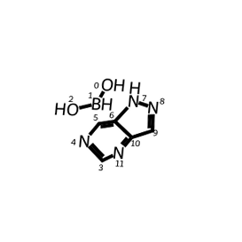 OBO.c1ncc2[nH]ncc2n1